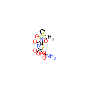 CC(=O)N(C1C(=O)N2CC(COC(N)=O)(C(=O)O)CS[C@H]12)[S+]([O-])c1cccs1